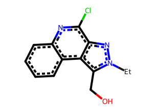 CCn1nc2c(Cl)nc3ccccc3c2c1CO